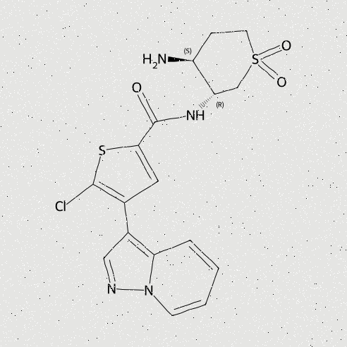 N[C@H]1CCS(=O)(=O)C[C@@H]1NC(=O)c1cc(-c2cnn3ccccc23)c(Cl)s1